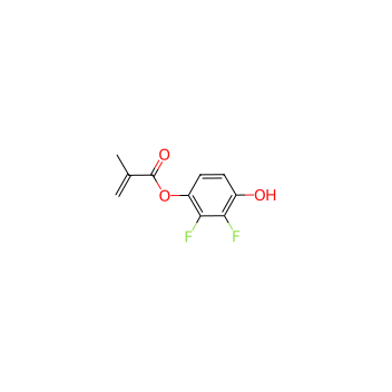 C=C(C)C(=O)Oc1ccc(O)c(F)c1F